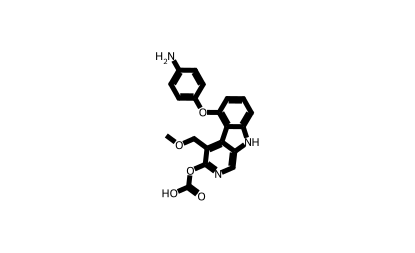 COCc1c(OC(=O)O)ncc2[nH]c3cccc(Oc4ccc(N)cc4)c3c12